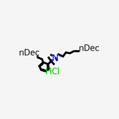 CCCCCCCCCCCCCCCC[N+](C)(C)C(C)(C)c1ccccc1CCCCCCCCCCCC.Cl